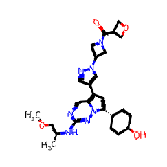 COC[C@H](C)Nc1ncc2c(-c3cnn(C4CN(C(=O)C5COC5)C4)c3)cc([C@H]3CC[C@H](O)CC3)n2n1